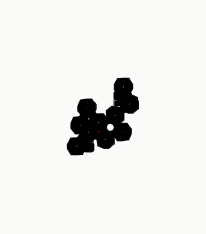 c1ccc2c(c1)-c1cc(-c3cccc4c3sc3ccccc34)ccc1-c1cc3c4ccccc4c4ccccc4c3cc1-c1c-2cccc1-c1cccc2c1sc1ccccc12